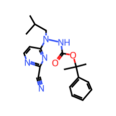 CC(C)CN(NC(=O)OC(C)(C)c1ccccc1)c1ccnc(C#N)n1